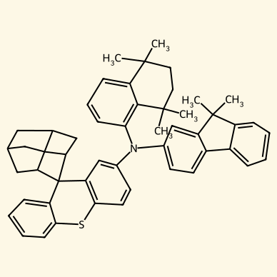 CC1(C)CCC(C)(C)c2c(N(c3ccc4c(c3)C(C)(C)c3ccccc3-4)c3ccc4c(c3)C3(c5ccccc5S4)C4CC5CC6CC3C64C5)cccc21